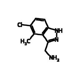 Cc1c(Cl)ccc2[nH]nc(CN)c12